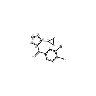 O=C(c1ccc(I)c(Br)c1)c1cnoc1C1CC1